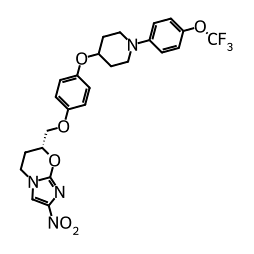 O=[N+]([O-])c1cn2c(n1)O[C@@H](COc1ccc(OC3CCN(c4ccc(OC(F)(F)F)cc4)CC3)cc1)CC2